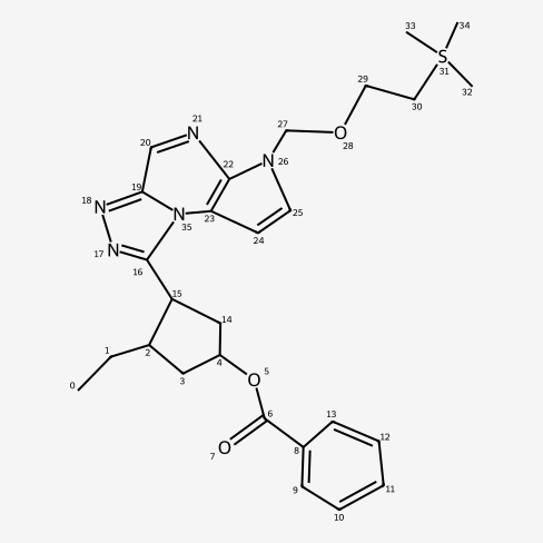 CCC1CC(OC(=O)c2ccccc2)CC1c1nnc2cnc3c(ccn3COCCS(C)(C)C)n12